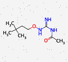 CC(=O)NC(=N)NOCCC(C)(C)C